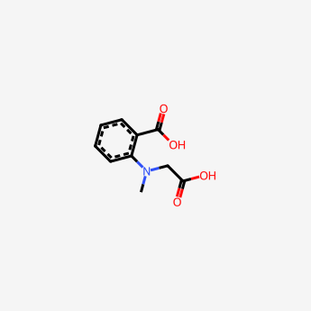 CN(CC(=O)O)c1ccccc1C(=O)O